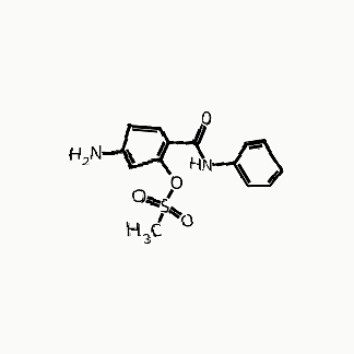 CS(=O)(=O)Oc1cc(N)ccc1C(=O)Nc1ccccc1